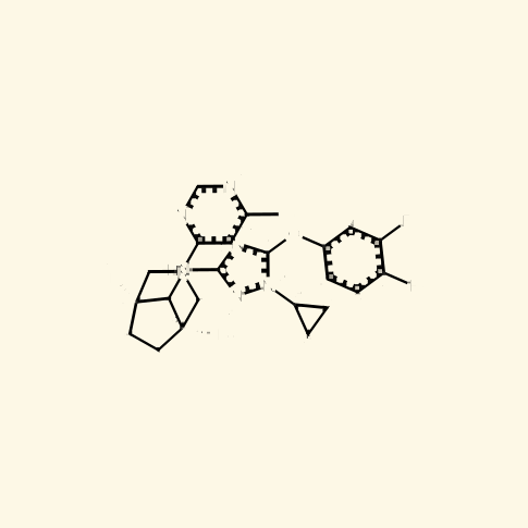 Cc1cc(N2C[C@H]3CC[C@@H](C2)C3Nc2nc(Oc3ccc(F)c(F)c3)n(C3CC3)n2)ncn1